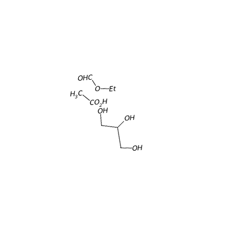 CC(=O)O.CCOC=O.OCC(O)CO